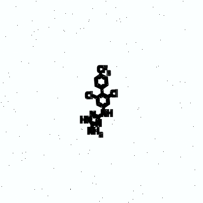 Nc1nc(Nc2cc(Cl)c(-c3ccc(C(F)(F)F)cc3)c(Cl)c2)n[nH]1